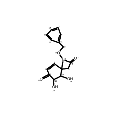 O=C1C=CC2(CC(=O)N2OCc2ccccc2)C(O)C1O